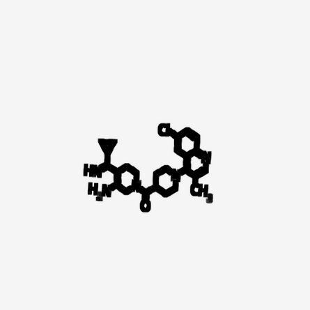 Cc1cnc2ccc(Cl)cc2c1N1CCC(C(=O)N2CCC(C(=N)C3CC3)=C(N)C2)CC1